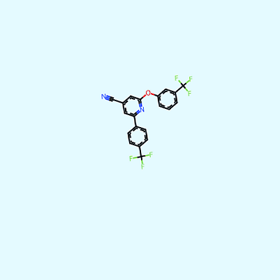 N#Cc1cc(Oc2cccc(C(F)(F)F)c2)nc(-c2ccc(C(F)(F)F)cc2)c1